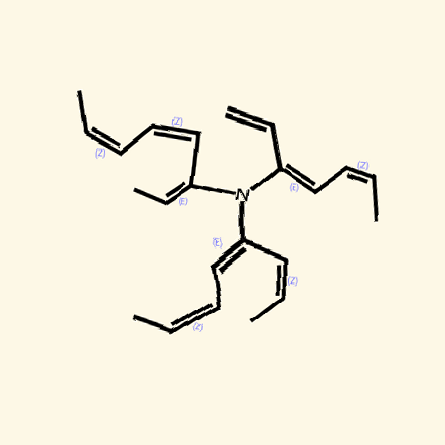 C=C/C(=C\C=C/C)N(C(/C=C\C=C/C)=C/C)C(/C=C\C)=C/C=C\C